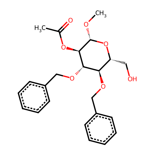 CO[C@@H]1O[C@H](CO)[C@@H](OCc2ccccc2)[C@H](OCc2ccccc2)[C@H]1OC(C)=O